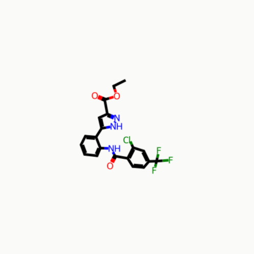 CCOC(=O)c1cc(-c2ccccc2NC(=O)c2ccc(C(F)(F)F)cc2Cl)[nH]n1